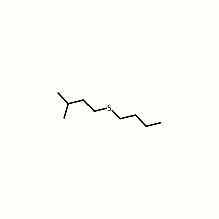 CCCCSCCC(C)C